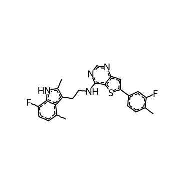 Cc1ccc(-c2cc3ncnc(NCCc4c(C)[nH]c5c(F)ccc(C)c45)c3s2)cc1F